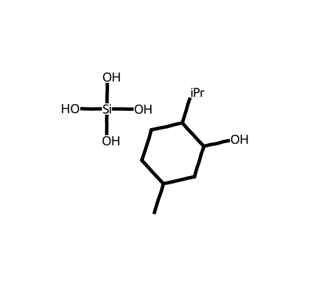 CC1CCC(C(C)C)C(O)C1.O[Si](O)(O)O